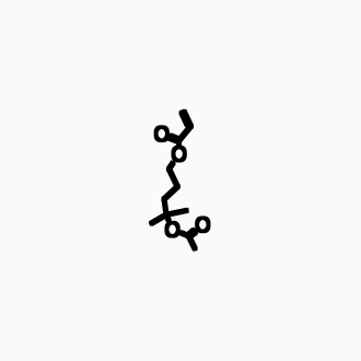 C=CC(=O)OCCCC(C)(C)OC(C)=O